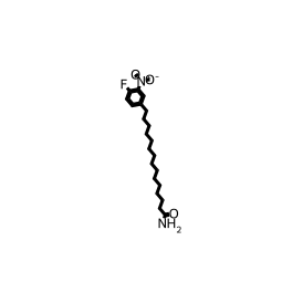 NC(=O)CCCCCCCCCCCCCCc1ccc(F)c([N+](=O)[O-])c1